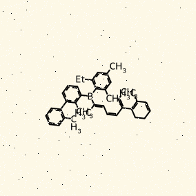 C/C=C(/C=C\C=C(/C)B(c1cccc(-c2ccccc2C)c1C)c1c(C)cc(C)cc1CC)C1=C(C)C=CCC1